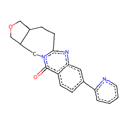 O=c1c2ccc(-c3ccccn3)cc2nc2n1CC1COCC1CC2